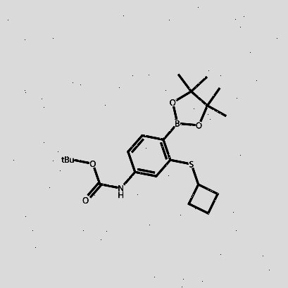 CC(C)(C)OC(=O)Nc1ccc(B2OC(C)(C)C(C)(C)O2)c(SC2CCC2)c1